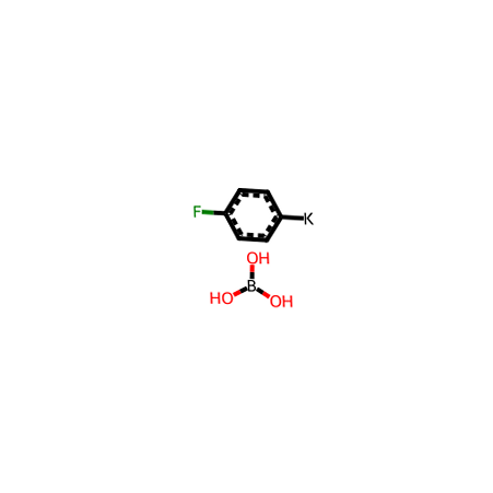 Fc1cc[c]([K])cc1.OB(O)O